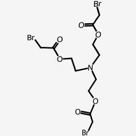 O=C(CBr)OCCN(CCOC(=O)CBr)CCOC(=O)CBr